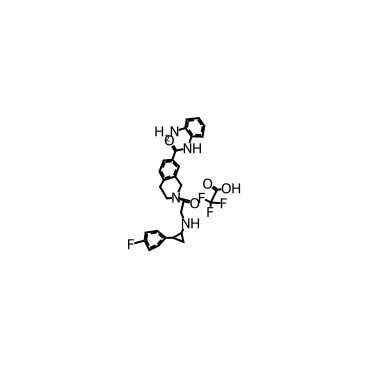 Nc1ccccc1NC(=O)c1ccc2c(c1)CN(C(=O)CNC1CC1c1ccc(F)cc1)CC2.O=C(O)C(F)(F)F